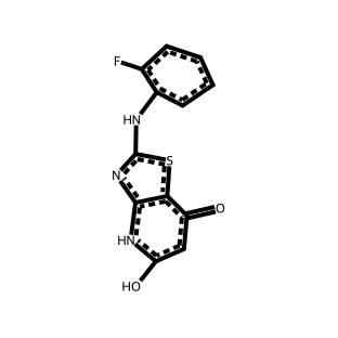 O=c1cc(O)[nH]c2nc(Nc3ccccc3F)sc12